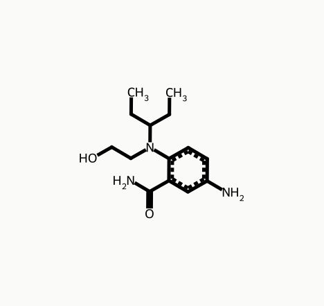 CCC(CC)N(CCO)c1ccc(N)cc1C(N)=O